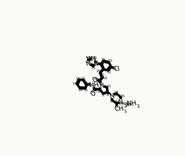 CC1CN(C2CC(C(=O)Nc3ccccc3)N(C(=O)/C=C/c3cc(Cl)ccc3-n3cnnn3)C2)CCN1SN